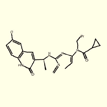 C=N/C(=N\C(=C/C)N(CC(C)C)C(=O)C1CC1)N[C@@H](C)c1cc2cc(Cl)ccc2[nH]c1=O